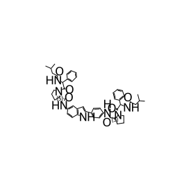 CC(C)CC(=O)NC(C(=O)N1CCC[C@H]1C(=O)Nc1ccc(-c2cc3cc(NC(=O)[C@@H]4CCCN4C(=O)C(NC(=O)CC(C)C)c4ccccc4)ccc3[nH]2)cc1)c1ccccc1